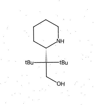 CC(C)(C)C(CO)([C@@H]1CCCCN1)C(C)(C)C